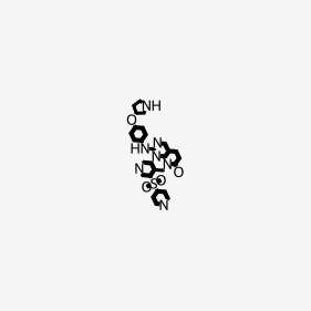 O=c1ccc2cnc(Nc3ccc(OC4CCNC4)cc3)nc2n1Cc1ccncc1S(=O)(=O)c1ccncc1